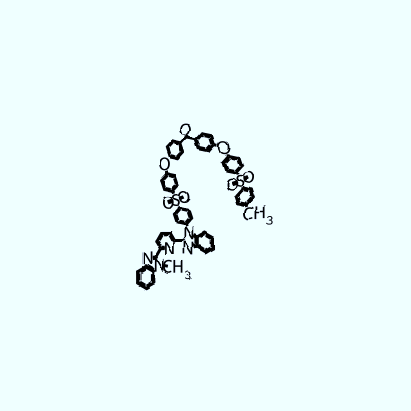 Cc1ccc(S(=O)(=O)c2ccc(Oc3ccc(C(=O)c4ccc(Oc5ccc(S(=O)(=O)c6ccc(-n7c(-c8cccc(-c9nc%10ccccc%10n9C)n8)nc8ccccc87)cc6)cc5)cc4)cc3)cc2)cc1